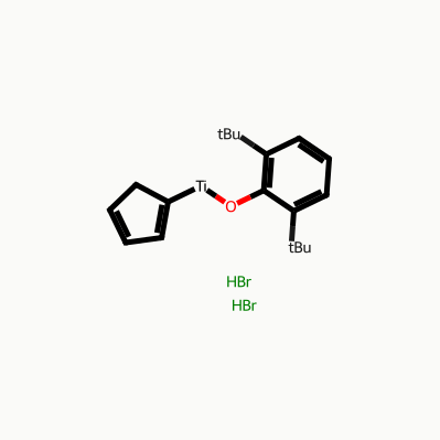 Br.Br.CC(C)(C)c1cccc(C(C)(C)C)c1[O][Ti][C]1=CC=CC1